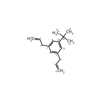 C=CCc1cc(CC=C)cc(C(C)(C)C)c1